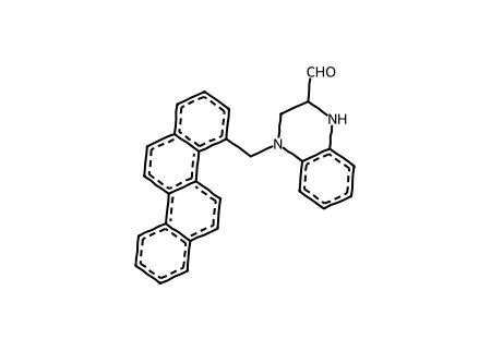 O=CC1CN(Cc2cccc3ccc4c5ccccc5ccc4c23)c2ccccc2N1